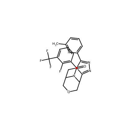 Cc1cccc(-c2nnc3n2CC2COCC3N2C(=O)c2cccc(C(F)(F)F)c2F)n1